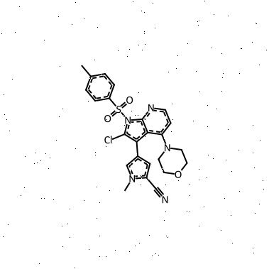 Cc1ccc(S(=O)(=O)n2c(Cl)c(-c3cc(C#N)n(C)c3)c3c(N4CCOCC4)ccnc32)cc1